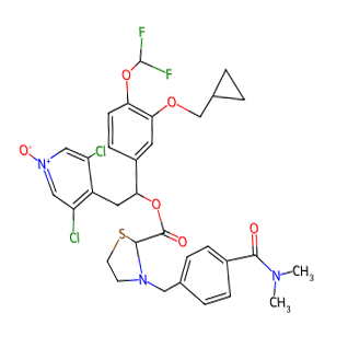 CN(C)C(=O)c1ccc(CN2CCSC2C(=O)OC(Cc2c(Cl)c[n+]([O-])cc2Cl)c2ccc(OC(F)F)c(OCC3CC3)c2)cc1